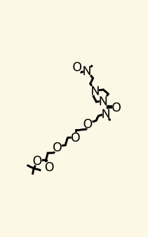 CN(C=O)CCN1CCN(C(=O)N(C)CCOCCOCCOCCC(=O)OC(C)(C)C)CC1